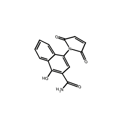 NC(=O)c1cc(N2C(=O)C=CC2=O)c2ccccc2c1O